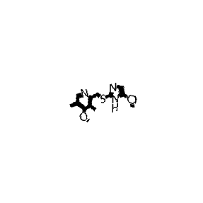 COc1cnc(SCc2ncc(C)c(OC)c2C)[nH]1